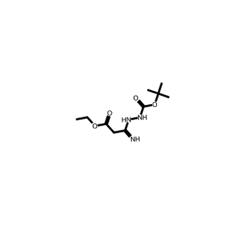 CCOC(=O)CC(=N)NNC(=O)OC(C)(C)C